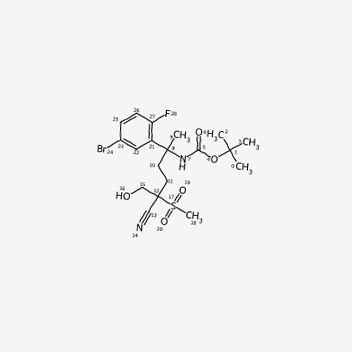 CC(C)(C)OC(=O)NC(C)(CCC(C#N)(CO)S(C)(=O)=O)c1cc(Br)ccc1F